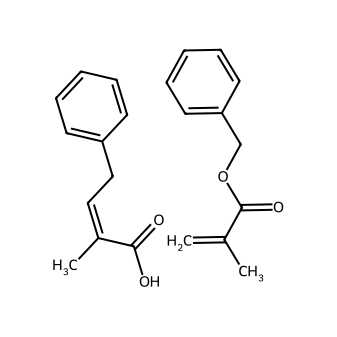 C=C(C)C(=O)OCc1ccccc1.CC(=CCc1ccccc1)C(=O)O